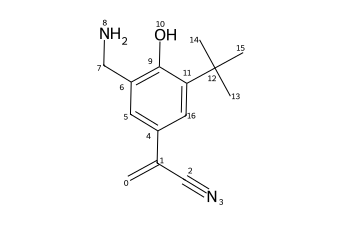 C=C(C#N)c1cc(CN)c(O)c(C(C)(C)C)c1